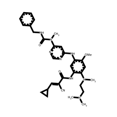 COc1cc(N(C)CCN(C)C)c(NC(=O)/C(C#N)=C/C2CC2)cc1Nc1cc(N(C)C(=O)NCc2ccccc2)ncn1